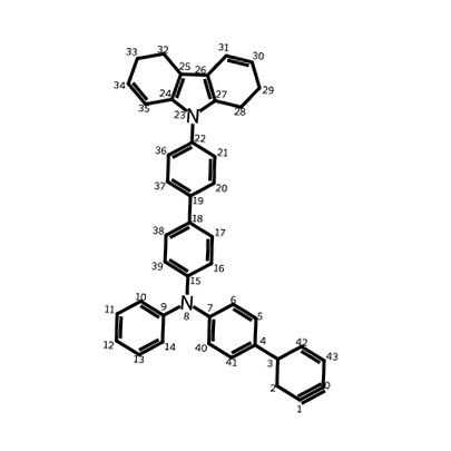 C1#CCC(c2ccc(N(c3ccccc3)c3ccc(-c4ccc(-n5c6c(c7c5CCC=C7)CCC=C6)cc4)cc3)cc2)C=C1